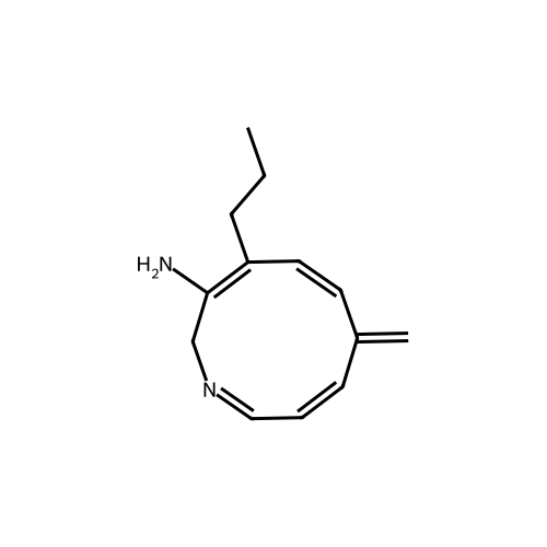 C=C1/C=C\C=N/C/C(N)=C(CCC)\C=C/1